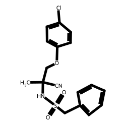 CC(C#N)(COc1ccc(Cl)cc1)NS(=O)(=O)Cc1ccccc1